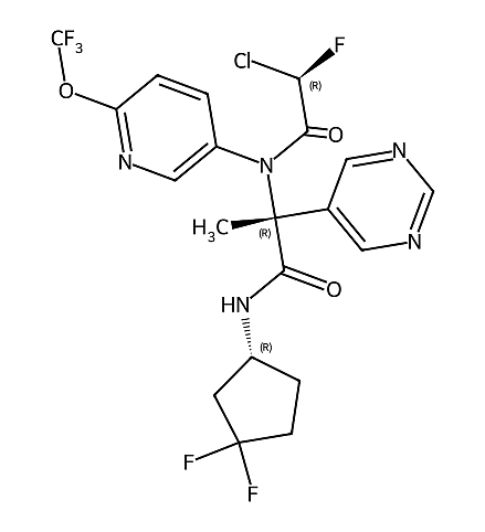 C[C@](C(=O)N[C@@H]1CCC(F)(F)C1)(c1cncnc1)N(C(=O)[C@H](F)Cl)c1ccc(OC(F)(F)F)nc1